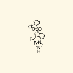 O=S(=O)(c1ccccc1Cl)n1cc(C(F)F)c2c(N3CCNCC3)cccc21